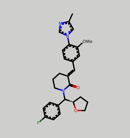 COc1cc(/C=C2\CCCN(C(c3ccc(F)cc3)[C@H]3CCCO3)C2=O)ccc1-n1cnc(C)c1